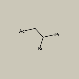 CC(=O)CC(Br)C(C)C